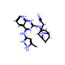 Cc1cc(Nc2nc(NC3CC4CCC(C3)N4CCC#N)nc3ncccc23)n[nH]1